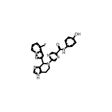 O=C(Nc1ccc(O)cc1)c1cnc(N2CCc3[nH]cnc3C2c2cc3c(F)cccn3n2)cn1